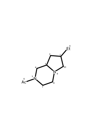 CCC1CC2CN(C(C)=O)CCN2C1